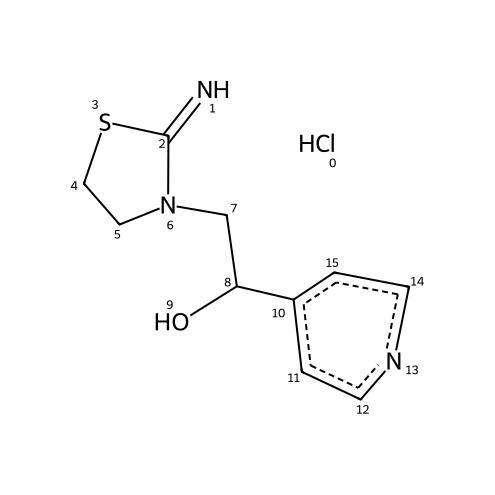 Cl.N=C1SCCN1CC(O)c1ccncc1